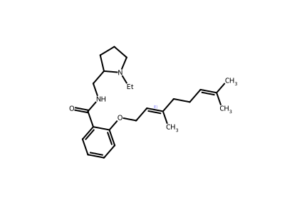 CCN1CCCC1CNC(=O)c1ccccc1OC/C=C(\C)CCC=C(C)C